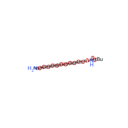 CC(C)(C)OC(=O)NCCOCCOCCOCCOCCOCCOCCOCCOCCOCCOCCOCCOCCN